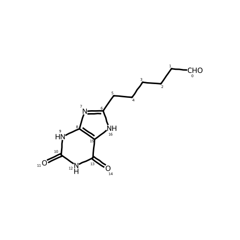 O=CCCCCCc1nc2[nH]c(=O)[nH]c(=O)c2[nH]1